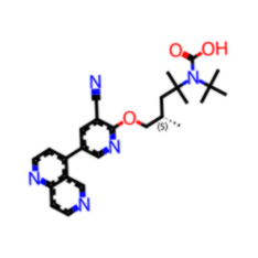 C[C@H](COc1ncc(-c2ccnc3ccncc23)cc1C#N)CC(C)(C)N(C(=O)O)C(C)(C)C